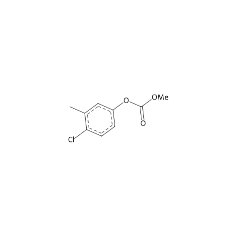 COC(=O)Oc1ccc(Cl)c(C)c1